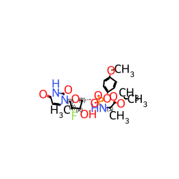 COc1ccc(OP(=O)(N[C@@H](C)C(=O)OC(C)C)OC[C@H]2O[C@@H](n3ccc(=O)[nH]c3=O)[C@](C)(F)[C@@H]2O)cc1